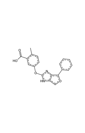 Cc1ccc(Oc2nc3c(-c4ccccc4)occ3[nH]2)cc1C(=O)O